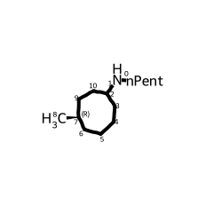 CCCCCNC1CCCC[C@@H](C)CC1